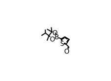 CC(C)C1(C)OB(c2ccc(C=O)s2)OC1(C)C